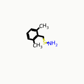 Cc1cccc(C)c1CSN